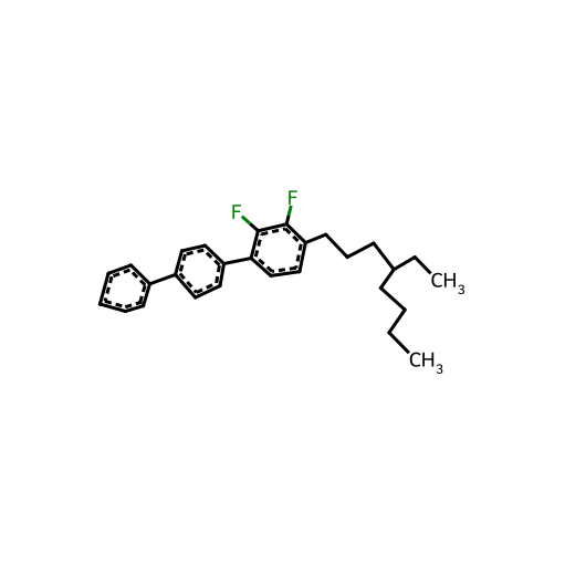 CCCCC(CC)CCCc1ccc(-c2ccc(-c3ccccc3)cc2)c(F)c1F